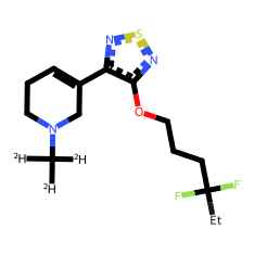 [2H]C([2H])([2H])N1CCC=C(c2nsnc2OCCCC(F)(F)CC)C1